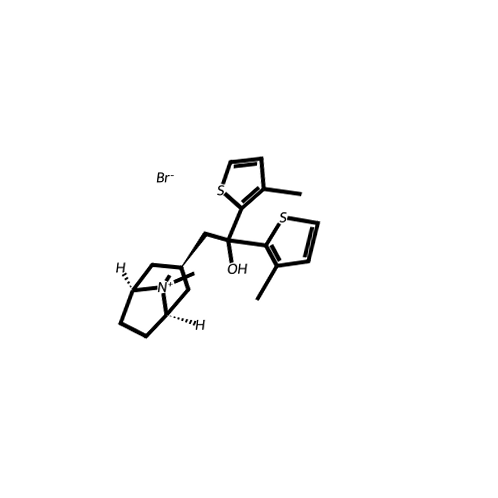 Cc1ccsc1C(O)(C[C@H]1C[C@H]2CC[C@@H](C1)[N+]2(C)C)c1sccc1C.[Br-]